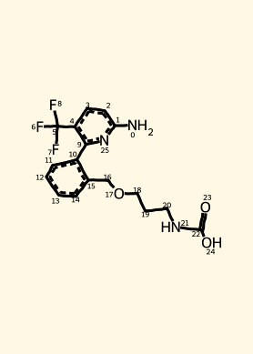 Nc1ccc(C(F)(F)F)c(-c2ccccc2COCCCNC(=O)O)n1